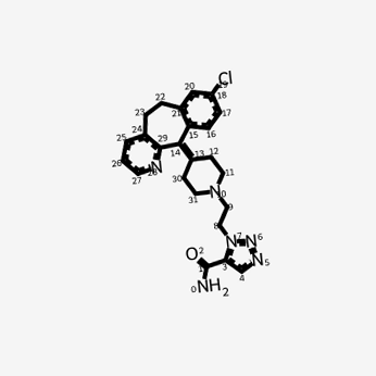 NC(=O)c1cnnn1CCN1CCC(=C2c3ccc(Cl)cc3CCc3cccnc32)CC1